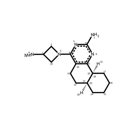 CNC1CN(c2nc(N)nc3c2CC[C@@H]2CCCC[C@H]32)C1